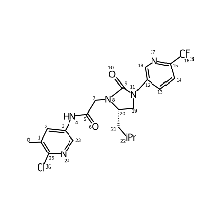 Cc1cc(NC(=O)CN2C(=O)N(c3ccc(C(F)(F)F)nc3)C[C@@H]2CC(C)C)cnc1Cl